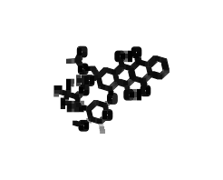 CO[C@@H]1[C@@H](NC(=O)C(F)(F)F)C[C@H](O[C@H]2CC(O)(COC(C)=O)Cc3c(O)c4c(c(O)c32)C(=O)c2ccccc2C4=O)O[C@@H]1C